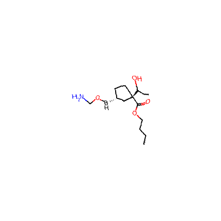 CCCCOC(=O)[C@@]1(C(C)O)CC[C@@H](BOCN)C1